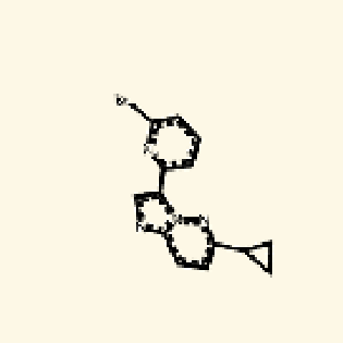 Brc1cccc(-c2cnc3ccc(C4CC4)nn23)n1